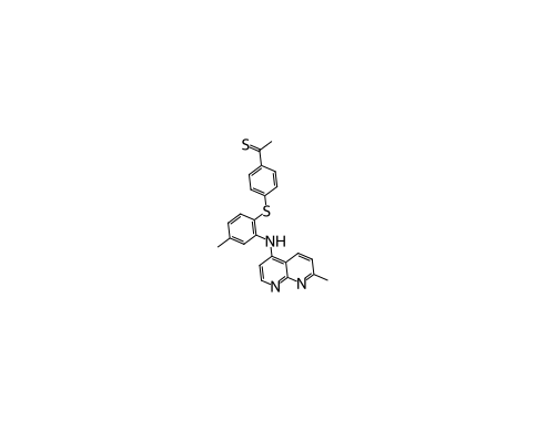 CC(=S)c1ccc(Sc2ccc(C)cc2Nc2ccnc3nc(C)ccc23)cc1